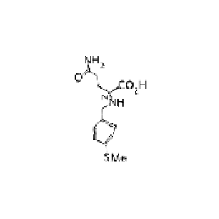 CSc1ccc(CN[C@@H](CCC(N)=O)C(=O)O)cc1